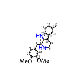 COc1ccc(CC2NCCc3c2[nH]c2ccc(C)cc32)cc1OC